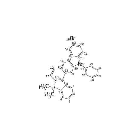 CC1(C)c2ccccc2-c2c1ccc1cc3c4cc(Br)ccc4n(-c4ccccc4)c3cc21